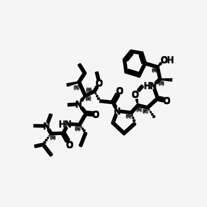 CC[C@H](NC(=O)[C@H](C(C)C)N(C)C)C(=O)N(C)[C@@H]([C@@H](C)CC)[C@@H](CC(=O)N1CCC[C@H]1[C@H](OC)[C@@H](C)C(=O)N[C@H](C)[C@@H](O)c1ccccc1)OC